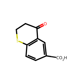 O=C(O)c1ccc2c(c1)C(=O)CCS2